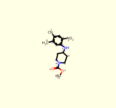 [C-]#[N+]c1cc([N+](=O)[O-])c(NC2CCN(C(=O)OC(C)(C)C)CC2)cc1C